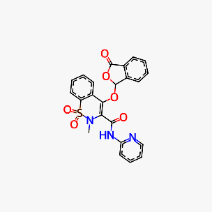 CN1C(C(=O)Nc2ccccn2)=C(OC2OC(=O)c3ccccc32)c2ccccc2S1(=O)=O